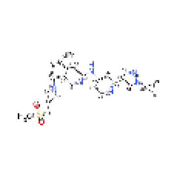 CC(C)c1ccc(N2CC(CS(C)(=O)=O)C2)c2cnc(Nc3ccnc(-c4cnn(C5CC5)c4)c3)cc12